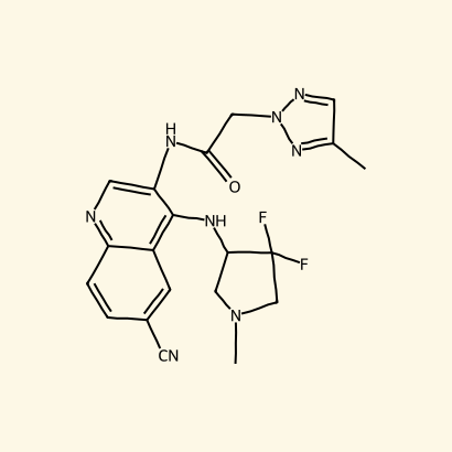 Cc1cnn(CC(=O)Nc2cnc3ccc(C#N)cc3c2NC2CN(C)CC2(F)F)n1